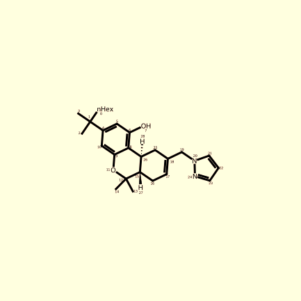 CCCCCCC(C)(C)c1cc(O)c2c(c1)OC(C)(C)[C@H]1CC=C(Cn3cccn3)C[C@H]21